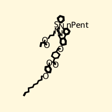 C=CCCCCCCCCOc1ccc(OC(=O)C2CCC(COc3ccc(-c4ccc(CCCCC)cc4)c(/C=N/N(CCCCOC(=O)C=C)c4nc5ccccc5s4)c3)CC2)cc1